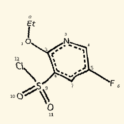 CCOc1ncc(F)cc1S(=O)(=O)Cl